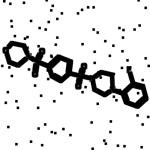 O=S(=O)(c1ccc(S(=O)(=O)N2CCN(c3ccccc3F)CC2)cc1)N1CCOCC1